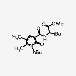 CCCCn1c(C)c(C)cc(C(=O)NC(C(=O)OC)C(C)CC)c1=O